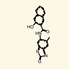 Cc1cc2c(cc1NC(=O)c1cc3ccccc3cc1O)=NC(=O)N=2